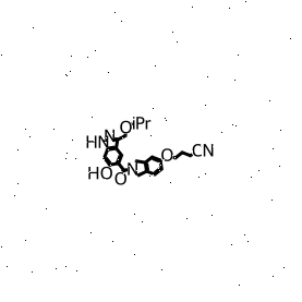 CC(C)OCc1n[nH]c2cc(O)c(C(=O)N3Cc4ccc(OCCCC#N)cc4C3)cc12